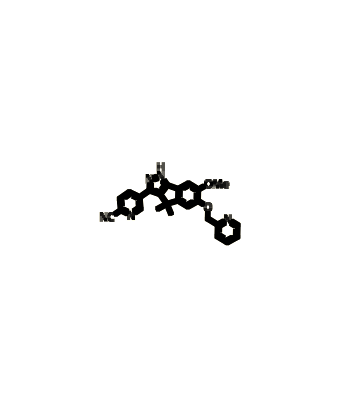 COc1cc2c(cc1OCc1ccccn1)C(C)(C)c1c(-c3ccc(C#N)nc3)n[nH]c1-2